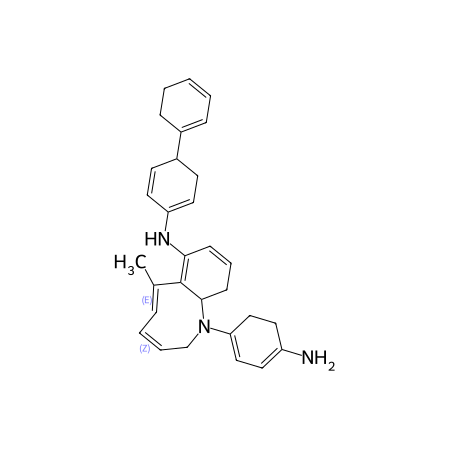 C/C1=C\C=C/CN(C2=CC=C(N)CC2)C2CC=CC(NC3=CCC(C4=CC=CCC4)C=C3)=C12